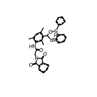 Cc1cc(C)c(C(O[SiH](c2ccccc2)c2ccccc2)C(C)(C)C)c(C)c1NC(=O)CN1C(=O)c2ccccc2C1=O